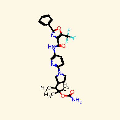 CC(C1CCN(c2ccc(NC(=O)c3nc(-c4ccccc4)oc3C(F)(F)F)cn2)C1)C(C)(C)OC(N)=O